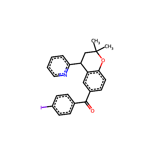 CC1(C)CC(c2ccccn2)c2cc(C(=O)c3ccc(I)cc3)ccc2O1